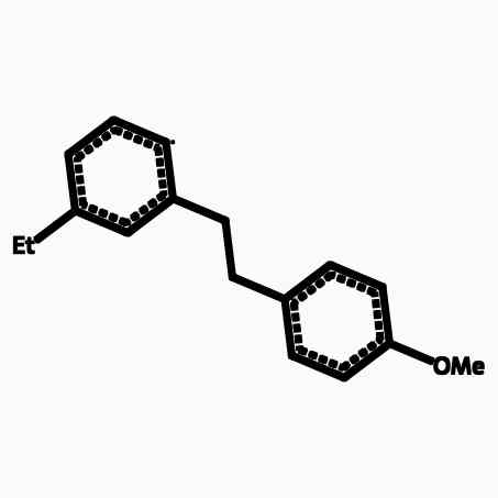 CCc1cc[c]c(CCc2ccc(OC)cc2)c1